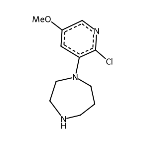 COc1cnc(Cl)c(N2CCCNCC2)c1